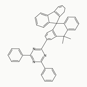 CC1(C)c2ccccc2C2(C3=C(C=CCC3)c3ccccc32)c2ccc(-c3nc(-c4ccccc4)nc(-c4ccccc4)n3)cc21